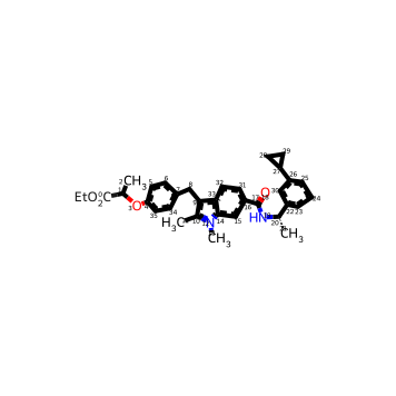 CCOC(=O)C(C)Oc1ccc(Cc2c(C)n(C)c3cc(C(=O)N[C@@H](C)c4cccc(C5CC5)c4)ccc23)cc1